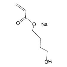 C=CC(=O)OCCCCO.[Na]